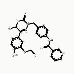 CCC1SC(=O)N(Cc2ccc(NC(=O)c3cccnc3)cc2)N=C1c1ccc(OC)c(OCF)c1